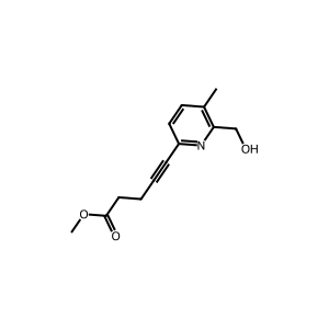 COC(=O)CCC#Cc1ccc(C)c(CO)n1